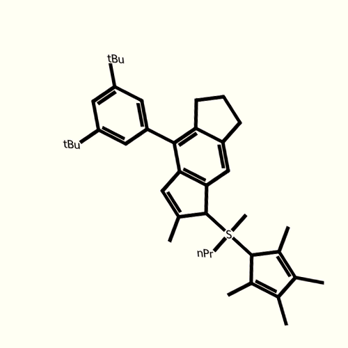 CCCS(C)(C1C(C)=C(C)C(C)=C1C)C1C(C)=Cc2c1cc1c(c2-c2cc(C(C)(C)C)cc(C(C)(C)C)c2)CCC1